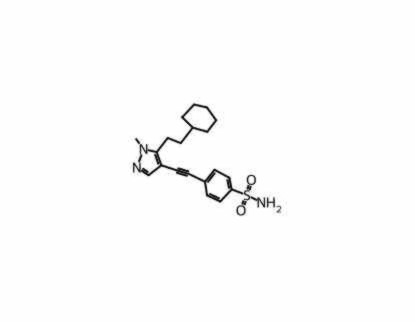 Cn1ncc(C#Cc2ccc(S(N)(=O)=O)cc2)c1CCC1CCCCC1